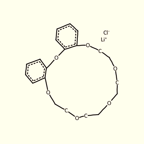 [Cl-].[Li+].c1ccc2c(c1)OCCOCCOCCOCCOc1ccccc1O2